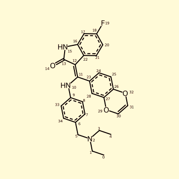 CCN(CC)Cc1ccc(N/C(=C2\C(=O)Nc3cc(F)ccc32)c2ccc3c(c2)OC=CO3)cc1